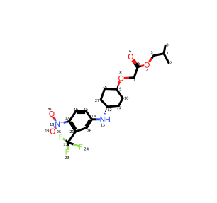 CC(C)COC(=O)CO[C@H]1CC[C@H](Nc2ccc([N+](=O)[O-])c(C(F)(F)F)c2)CC1